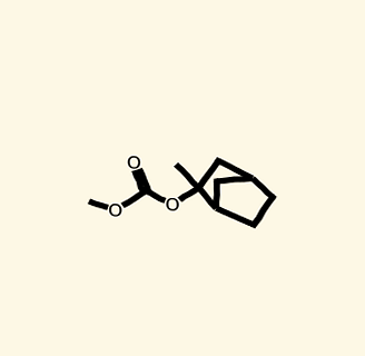 COC(=O)OC1(C)CC2CCC1C2